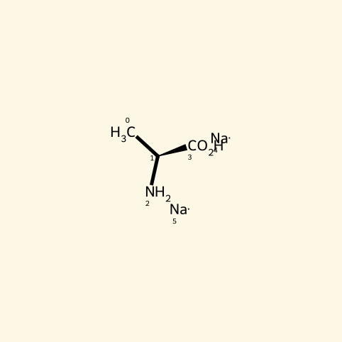 C[C@H](N)C(=O)O.[Na].[Na]